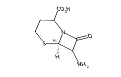 NC1C(=O)N2C(C(=O)O)CCS[C@H]12